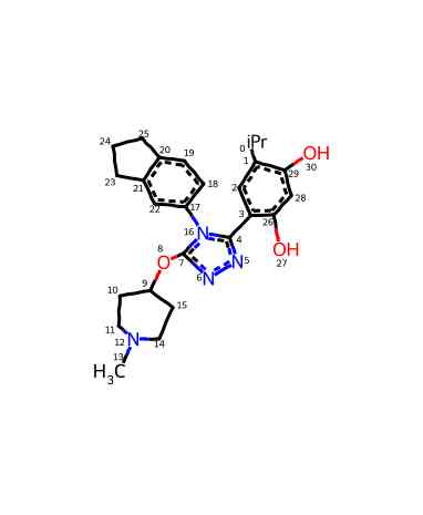 CC(C)c1cc(-c2nnc(OC3CCN(C)CC3)n2-c2ccc3c(c2)CCC3)c(O)cc1O